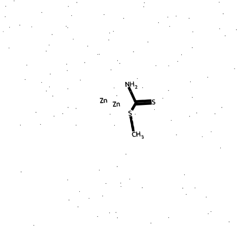 CSC(N)=S.[Zn].[Zn]